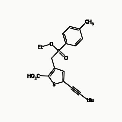 CCOP(=O)(Cc1cc(C#CC(C)(C)C)sc1C(=O)O)c1ccc(C)cc1